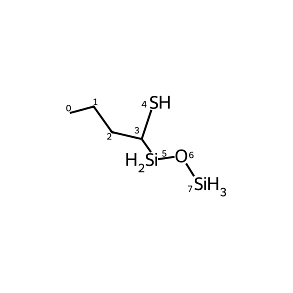 CCCC(S)[SiH2]O[SiH3]